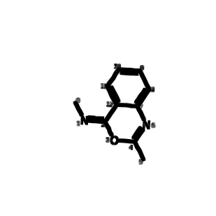 C/N=c1/oc(C)nc2ccccc12